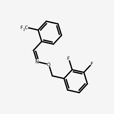 Fc1cccc(CO/N=[C]\c2ccccc2C(F)(F)F)c1F